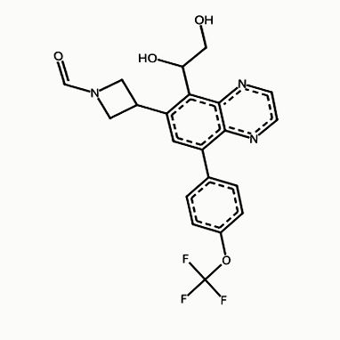 O=CN1CC(c2cc(-c3ccc(OC(F)(F)F)cc3)c3nccnc3c2C(O)CO)C1